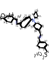 O=S(=O)(O)Cc1ccc(/C=C/c2ccc(N(c3ccccc3)c3ccc(/C=C/c4ccc(CS(=O)(=O)O)cc4)cc3)cc2)cc1